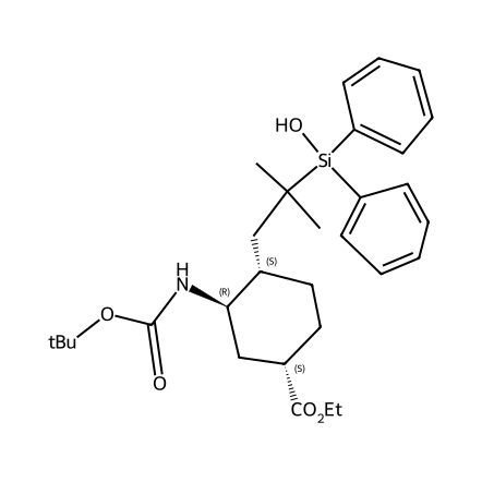 CCOC(=O)[C@H]1CC[C@@H](CC(C)(C)[Si](O)(c2ccccc2)c2ccccc2)[C@H](NC(=O)OC(C)(C)C)C1